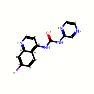 O=C(Nc1cnccn1)Nc1ccnc2cc(I)ccc12